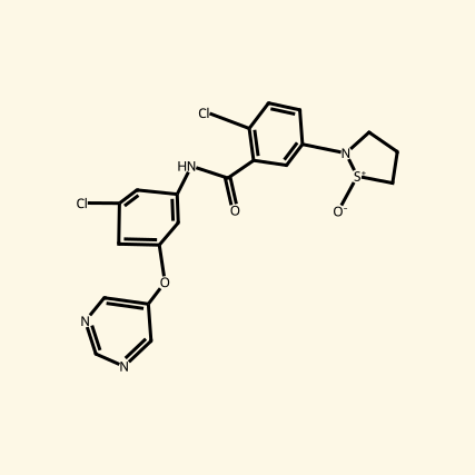 O=C(Nc1cc(Cl)cc(Oc2cncnc2)c1)c1cc(N2CCC[S+]2[O-])ccc1Cl